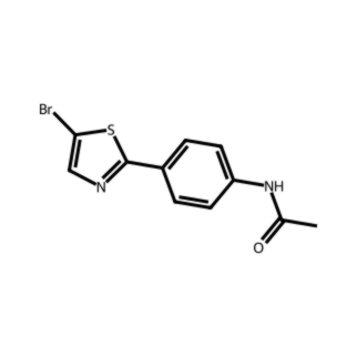 CC(=O)Nc1ccc(-c2ncc(Br)s2)cc1